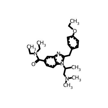 CCOc1ccc(Cc2nc3cc(C(=O)N(CC)CC)ccc3n2C(C)CN(C)C)cc1